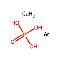 O=P(O)(O)O.[Ar].[CaH2]